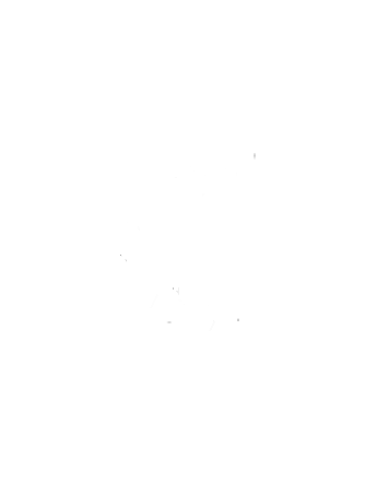 O=C(O)Oc1cccc(-c2cnc(C(=O)CCc3ccc(-c4ccccc4)cc3)o2)n1